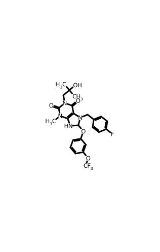 Cn1c2c(c(=O)n(CC(C)(C)O)c1=O)N(Cc1ccc(F)cc1)C(Oc1cccc(OC(F)(F)F)c1)N2